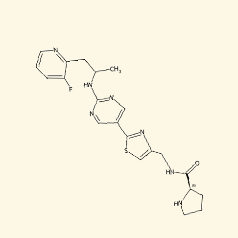 CC(Cc1ncccc1F)Nc1ncc(-c2nc(CNC(=O)[C@H]3CCCN3)cs2)cn1